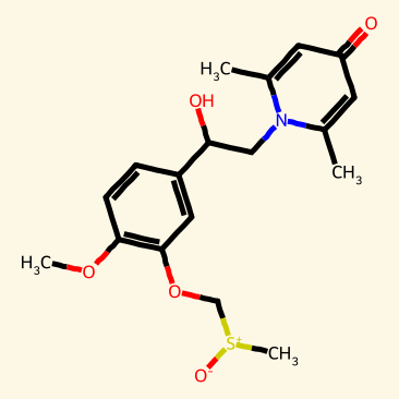 COc1ccc(C(O)Cn2c(C)cc(=O)cc2C)cc1OC[S+](C)[O-]